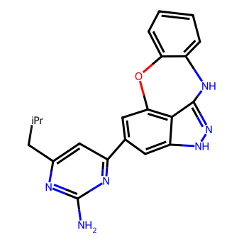 CC(C)Cc1cc(-c2cc3c4c(n[nH]c4c2)Nc2ccccc2O3)nc(N)n1